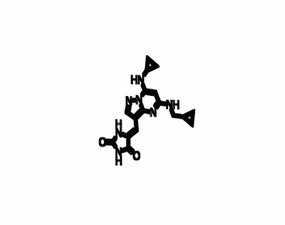 O=C1NC(=O)/C(=C/c2cnn3c(NC4CC4)cc(NCC4CC4)nc23)N1